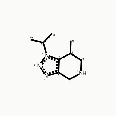 CC1CNCc2nnn(C(C)C)c21